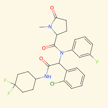 CN1C(=O)CCC1C(=O)N(c1cccc(F)c1)C(C(=O)NC1CCC(F)(F)CC1)c1ccccc1Cl